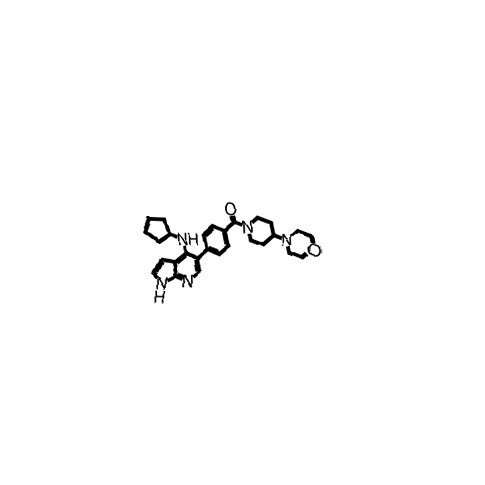 O=C(c1ccc(-c2cnc3[nH]ccc3c2NC2CCCC2)cc1)N1CCC(N2CCOCC2)CC1